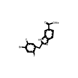 COC(=O)c1ccc2nc(Cc3cc(F)c(Br)cc3F)[nH]c2c1